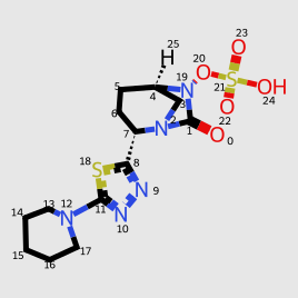 O=C1N2C[C@@H](CC[C@H]2c2nnc(N3CCCCC3)s2)N1OS(=O)(=O)O